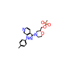 Cc1ccc(-n2nc(N3CCOC(COS(C)(=O)=O)C3)c3ccncc32)cc1